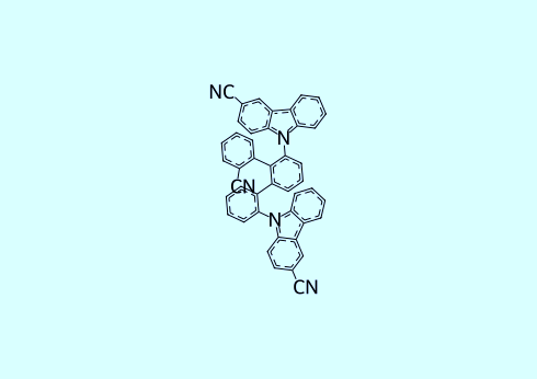 N#Cc1ccc2c(c1)c1ccccc1n2-c1ccccc1-c1cccc(-n2c3ccccc3c3cc(C#N)ccc32)c1-c1ccccc1C#N